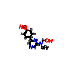 CCCN(CO)c1cncc(-c2ccc(O)cc2)n1